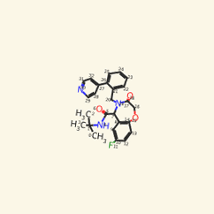 CC(C)(C)NC(=O)C1c2cc(F)ccc2OCC(=O)N1Cc1ccccc1-c1ccncc1